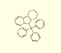 C1=CC2C(C=C1)C(C(c1ccccc1)(c1ccccc1)c1ccccc1)C1CCCCC21